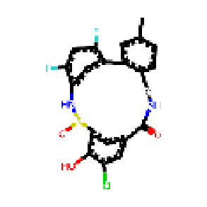 Cc1ccc2c(c1)-c1cc(c(F)cc1F)N[S+]([O-])c1cc(cc(Cl)c1O)C(=O)NC2